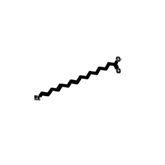 CCC=CCC=CCC=CCCCCCCCC([O])=O